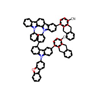 N#Cc1ccc(-c2ccc3c(c2)c2c(-c4ccc(-n5c6ccc(-c7ccc(C#N)c8c7C7c9ccccc9C8c8ccccc87)cc6c6ccc7c8ccccc8n(-c8ccccc8)c7c65)cc4)cccc2n3-c2ccc3c(c2)oc2ccccc23)c2c1C1c3ccccc3C2c2ccccc21